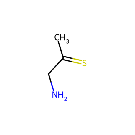 CC(=S)CN